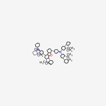 CC1(C)c2ccccc2-c2ccc(N(c3ccc(-c4cccc5c4oc4c6c(cc(-c7ccc8c(c7)C7(C)CCCCC7(C)N8c7ccccc7)c45)C(C)(C)c4ccccc4-6)cc3)c3ccc4c(c3)C(C)(C)c3ccccc3-4)cc21